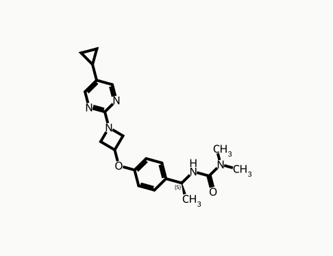 C[C@H](NC(=O)N(C)C)c1ccc(OC2CN(c3ncc(C4CC4)cn3)C2)cc1